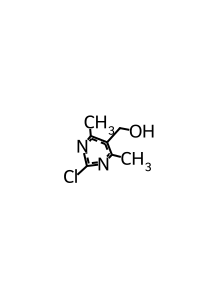 Cc1nc(Cl)nc(C)c1CO